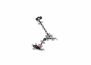 CCCC1O[C@@H]2C[C@H]3[C@@H]4C[C@H](F)C5=CC(=O)C=C[C@]5(C)[C@@]4(F)[C@@H](O)C[C@]3(C)[C@]2(C(=O)COC(=O)NCCNC(=O)OCc2ccc(NC(=O)[C@H](CCCNC(N)=O)NC(=O)[C@@H](NC(=O)CCOCCOCCOCCOCCNC(=O)CCC(=O)N3Cc4ccccc4C#Cc4ccccc43)C(C)C)cc2)O1